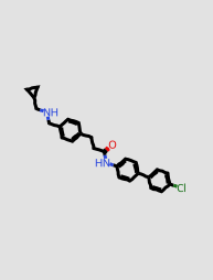 O=C(CCc1ccc(CNCC2CC2)cc1)Nc1ccc(-c2ccc(Cl)cc2)cc1